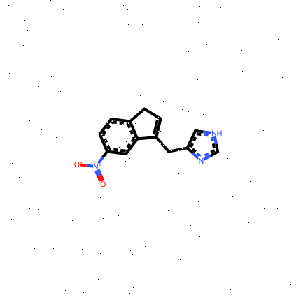 O=[N+]([O-])c1ccc2c(c1)C(Cc1c[nH]cn1)=CC2